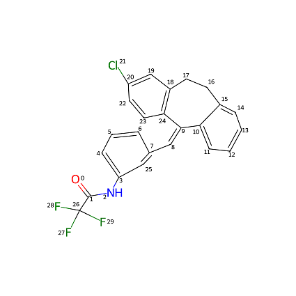 O=C(Nc1cccc(C=C2c3ccccc3CCc3cc(Cl)ccc32)c1)C(F)(F)F